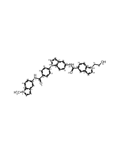 Cn1ccc2cc(NC(=O)c3ccc(-n4ncc5cc(NC(=O)c6ccc7c(ccn7CCO)c6)ccc54)cc3)ccc21